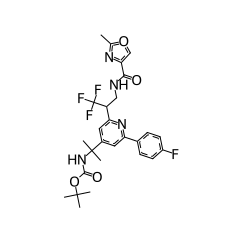 Cc1nc(C(=O)NCC(c2cc(C(C)(C)NC(=O)OC(C)(C)C)cc(-c3ccc(F)cc3)n2)C(F)(F)F)co1